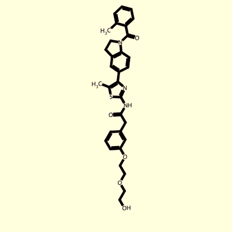 Cc1ccccc1C(=O)N1CCc2cc(-c3nc(NC(=O)Cc4cccc(OCCOCCO)c4)sc3C)ccc21